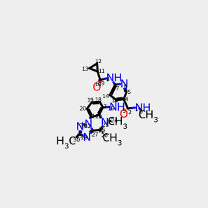 CNC(=O)c1cnc(NC(=O)C2CC2)cc1Nc1cccc2c1N(C)[C@H](C)c1nc(C)nn1-2